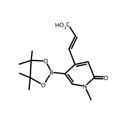 Cn1cc(B2OC(C)(C)C(C)(C)O2)c(/C=C/C(=O)O)cc1=O